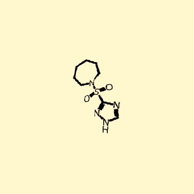 O=S(=O)(c1nc[nH]n1)N1CCCCCC1